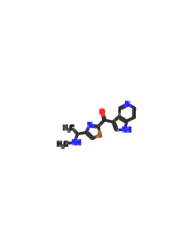 CNC(C)c1csc(C(=O)c2c[nH]c3ccncc23)n1